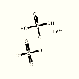 O=P([O-])(O)O.O=S(=O)([O-])[O-].[Fe+3]